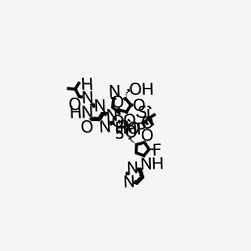 CC(C)C(=O)Nc1nc2c(ncn2[C@@H]2O[C@H](CO)C(O[Si](C)(C)C(C)(C)C)[C@H]2OP(=S)(OCCC#N)OC[C@H]2C[C@@H](Nc3ccncn3)[C@H](F)[C@@H]2O[PH](=O)O)c(=O)[nH]1